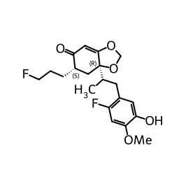 COc1cc(F)c(CC(C)[C@]23C[C@H](CCCF)C(=O)C=C2OCO3)cc1O